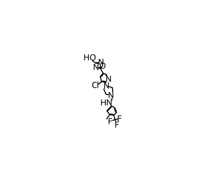 Cc1cc(NCN2CCN(c3ncc(-c4nc(CO)no4)cc3Cl)CC2)ccc1C(F)(F)F